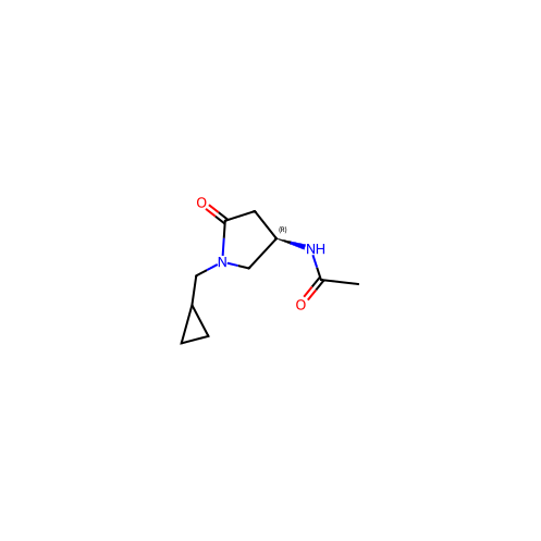 CC(=O)N[C@@H]1CC(=O)N(CC2CC2)C1